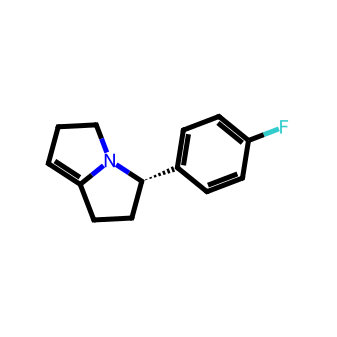 Fc1ccc([C@@H]2CCC3=CCCN32)cc1